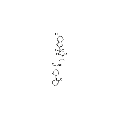 CC(CNC(=O)c1ccc(-n2ccccc2=O)cc1)C(=O)NS(=O)(=O)c1cc2ccc(Cl)cc2s1